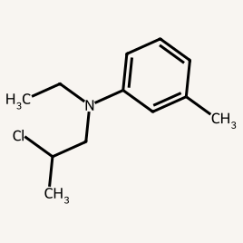 CCN(CC(C)Cl)c1cccc(C)c1